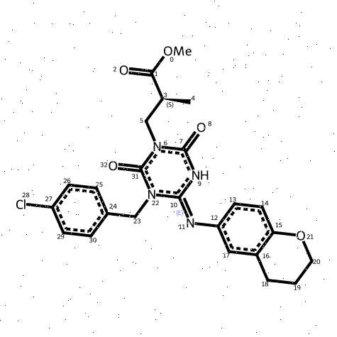 COC(=O)[C@@H](C)Cn1c(=O)[nH]/c(=N\c2ccc3c(c2)CCCO3)n(Cc2ccc(Cl)cc2)c1=O